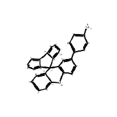 Nc1ccc(-c2ccc3c(c2)C2(c4ccccc4O3)c3ccccc3-c3ccccc32)cc1